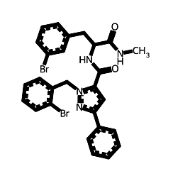 CNC(=O)C(Cc1cccc(Br)c1)NC(=O)c1cc(-c2ccccc2)nn1Cc1ccccc1Br